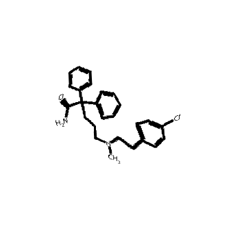 CN(CCCC(C(N)=O)(c1ccccc1)c1ccccc1)CCc1ccc(Cl)cc1